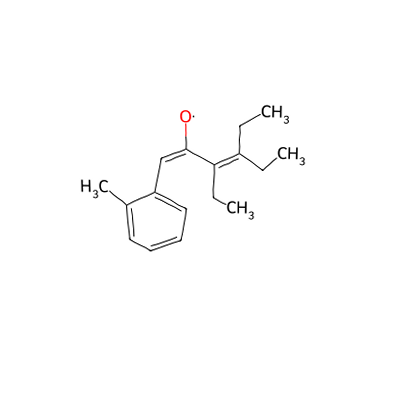 CCC(CC)=C(CC)/C([O])=C\c1ccccc1C